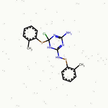 Cc1ccccc1SNC1=NC(N)=NC(Cl)(Sc2ccccc2C)N1